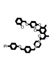 C/C(=C/C(=O)N1CCN(Cc2ccc(COc3ccc(C(C)C)cc3)cc2)CC1)c1cc(C)c(Oc2ccc(OCc3ccccc3Cl)cn2)c(Cl)c1